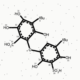 CC(C)(C)c1cc(Oc2c(O)c(C(C)(C)C)c(O)c(O)c2C(=O)O)c(O)c(S(=O)(=O)O)c1O